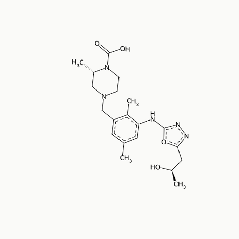 Cc1cc(CN2CCN(C(=O)O)[C@@H](C)C2)c(C)c(Nc2nnc(C[C@@H](C)O)o2)c1